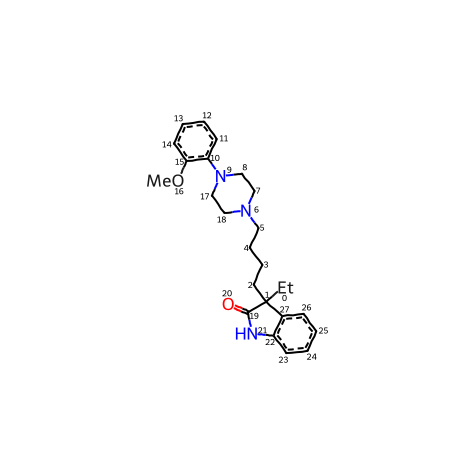 CCC1(CCCCN2CCN(c3ccccc3OC)CC2)C(=O)Nc2ccccc21